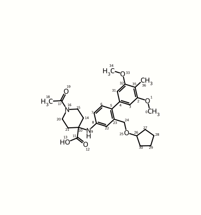 COc1cc(-c2ccc(NC3(C(=O)O)CCN(C(C)=O)CC3)cc2COC2CCCC2)cc(OC)c1C